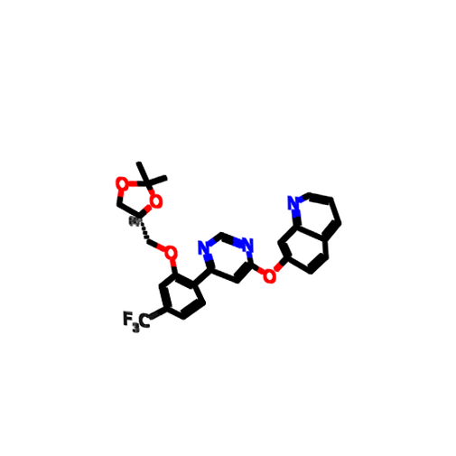 CC1(C)OC[C@@H](COc2cc(C(F)(F)F)ccc2-c2cc(Oc3ccc4cccnc4c3)ncn2)O1